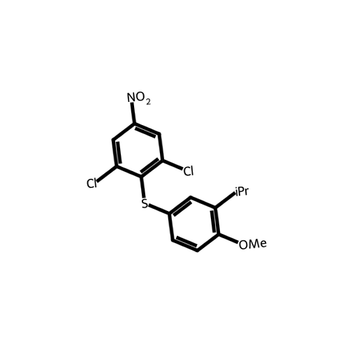 COc1ccc(Sc2c(Cl)cc([N+](=O)[O-])cc2Cl)cc1C(C)C